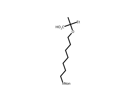 CCCCCCCCCCCCCCCCOC(C)(CC)C(=O)O